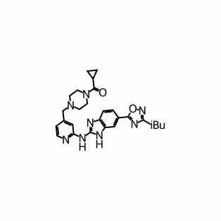 CCC(C)c1noc(-c2ccc3nc(Nc4cc(CN5CCN(C(=O)C6CC6)CC5)ccn4)[nH]c3c2)n1